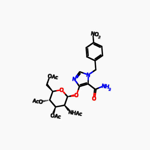 CC(=O)N[C@@H]1[C@H](Oc2ncn(Cc3ccc([N+](=O)[O-])cc3)c2C(N)=O)O[C@H](COC(C)=O)[C@@H](OC(C)=O)[C@@H]1OC(C)=O